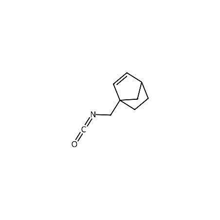 O=C=NCC12C=CC(CC1)C2